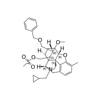 COC12CCC3([C@@H](COS(C)(=O)=O)[C@@H]1COCc1ccccc1)[C@H]1Cc4ccc(C)c5c4[C@@]3(CCN1CC1CC1)[C@H]2O5